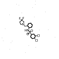 O=S(=O)(Nc1ccccc1CN1CCC(F)(F)C1)c1ccc(Cl)c(Cl)c1